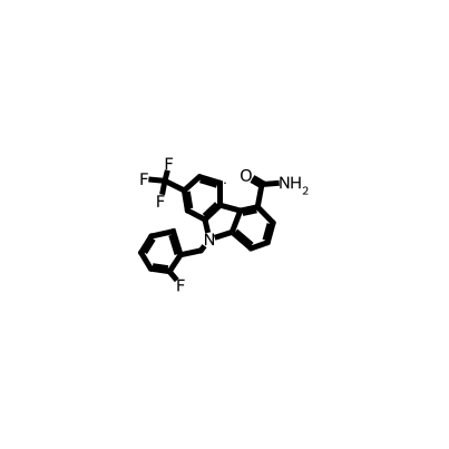 NC(=O)c1cccc2c1c1[c]cc(C(F)(F)F)cc1n2Cc1ccccc1F